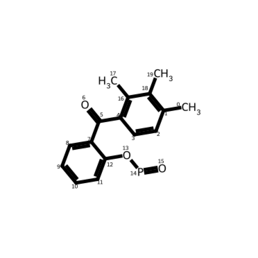 Cc1ccc(C(=O)c2ccccc2OP=O)c(C)c1C